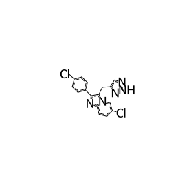 Clc1ccc(-c2nc3ccc(Cl)cn3c2Cc2cn[nH]n2)cc1